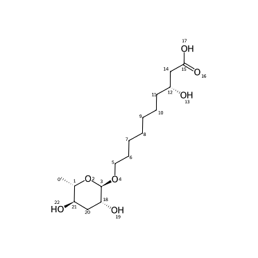 C[C@@H]1O[C@@H](OCCCCCCC[C@@H](O)CC(=O)O)[C@H](O)C[C@H]1O